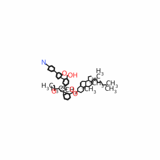 CCC(=O)CCC1([Si](C)(C)c2ccc(C(=O)O)c(-c3ccc(-c4ccc(C#N)cc4)cc3)c2)c2cccc(C(=O)OC3CC[C@@]4(C)C(=CCC5C4CC[C@@]4(C)C5CC[C@@H]4[C@H](C)CCCC(C)C)C3)c21